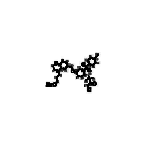 COCCCN1CCOc2ccc(CO[C@@H]3CC[C@@H](CC(C)(C)C(=O)CCl)N(S(=O)(=O)c4ccc(C)cc4)C3)cc21